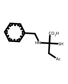 CC(=O)CC(S)(NCc1ccccc1)C(=O)O